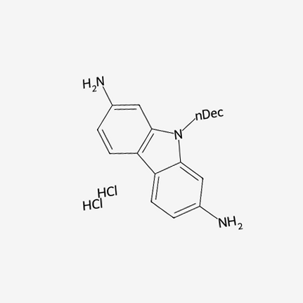 CCCCCCCCCCn1c2cc(N)ccc2c2ccc(N)cc21.Cl.Cl